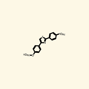 CCCCCCCCCCOc1ccc(-c2csc(-c3ccc(CCCCCCCCCC)cc3)n2)cc1